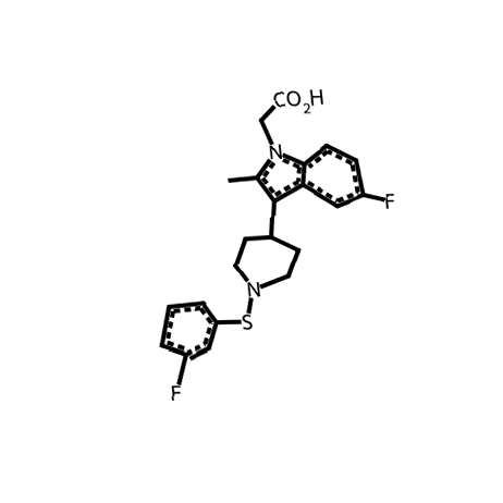 Cc1c(C2CCN(Sc3cccc(F)c3)CC2)c2cc(F)ccc2n1CC(=O)O